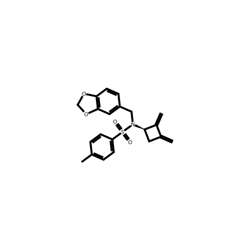 C=C1C[C@@H](N(Cc2ccc3c(c2)OCO3)S(=O)(=O)c2ccc(C)cc2)C1=C